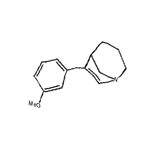 COc1cccc(C2=CN3CCCC2C3)c1